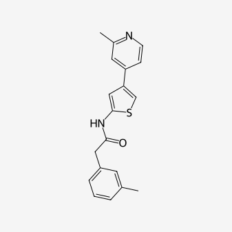 Cc1cccc(CC(=O)Nc2cc(-c3ccnc(C)c3)cs2)c1